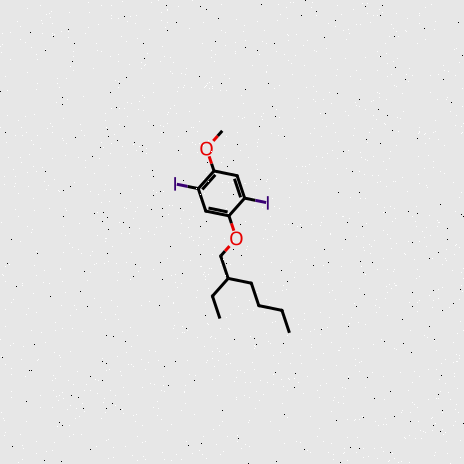 CCCCC(CC)COc1cc(I)c(OC)cc1I